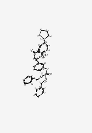 O=c1cc(-c2cccc(OP(=O)(OCc3ccccc3)OCc3ccccc3)c2)[nH]c2ccc(N3CCCC3)cc12